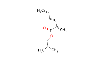 C=CC=CC(=C)C(=O)OCC(C)C